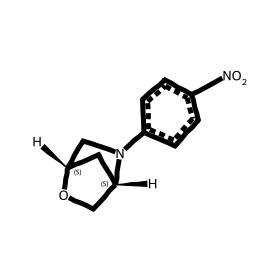 O=[N+]([O-])c1ccc(N2C[C@@H]3C[C@H]2CO3)cc1